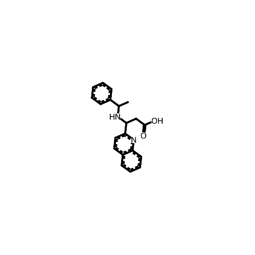 CC(NC(CC(=O)O)c1ccc2ccccc2n1)c1ccccc1